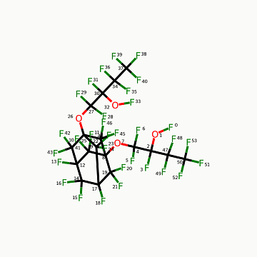 FOC(F)(C(F)(F)OC12C(F)(F)C3(F)C(F)(F)C(F)(C1(F)F)C(F)(F)C(OC(F)(F)C(F)(OF)C(F)(F)C(F)(F)F)(C3(F)F)C2(F)F)C(F)(F)C(F)(F)F